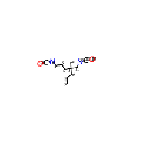 CCCC(C)(CCCN=C=O)CN=C=O